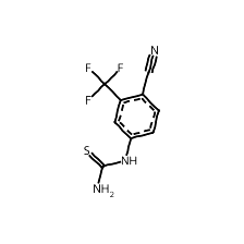 N#Cc1ccc(NC(N)=S)cc1C(F)(F)F